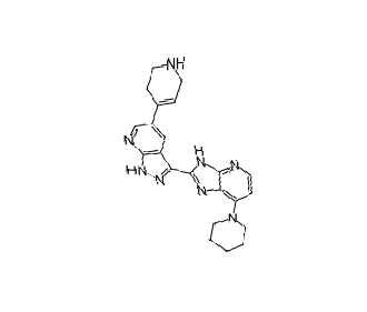 C1=C(c2cnc3[nH]nc(-c4nc5c(N6CCCCC6)ccnc5[nH]4)c3c2)CCNC1